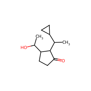 CC(O)C1CCC(=O)C1C(C)C1CC1